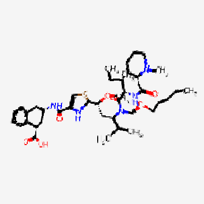 CCCCCOCN(C(=O)[C@@H](NC(=O)[C@H]1CCCCN1C)[C@@H](C)CC)[C@H](C[C@@H](OC)C1NC(C(=O)N[C@H]2Cc3ccccc3[C@H](C(=O)O)C2)=CS1)C(C)C